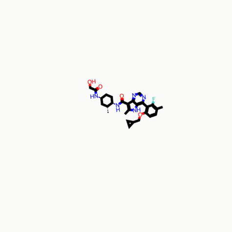 Cc1ccc(OCC2CC2)c(-c2ncnc3c(C(=O)N[C@H]4CC[C@@H](NC(=O)CO)C[C@H]4C)c(C)[nH]c23)c1F